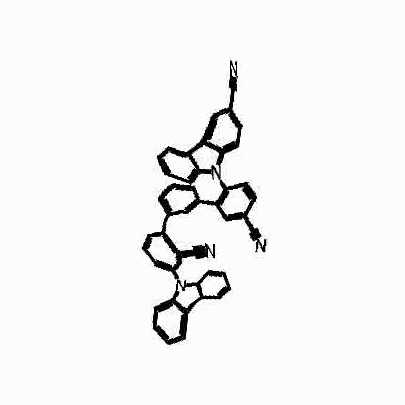 N#Cc1ccc(-n2c3ccccc3c3cc(C#N)ccc32)c(-c2cccc(-c3cccc(N4c5ccccc5C5C=CC=CC54)c3C#N)c2)c1